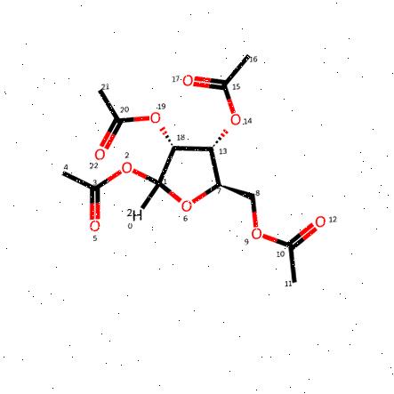 [2H]C1(OC(C)=O)O[C@H](COC(C)=O)[C@@H](OC(C)=O)[C@H]1OC(C)=O